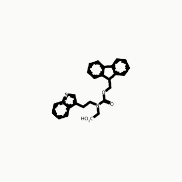 O=C(O)CN(CCc1csc2ccccc12)C(=O)OCC1c2ccccc2-c2ccccc21